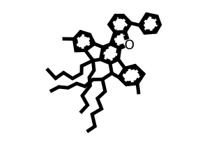 CCCCCCC(CCCCCC)C1c2cc(C)ccc2-c2c1c1c(c3c2oc2c(-c4ccccc4)cccc23)-c2ccc(C)cc2C1(CCCCCC)CCCCCC